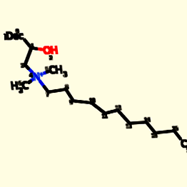 CCCCCCCCCCC(O)C[N+](C)(C)CCCCCCCCCCC(=O)[O-]